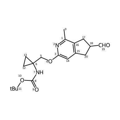 Cc1nc(OCC2(NC(=O)OC(C)(C)C)CC2)cc2c1CC(C=O)C2